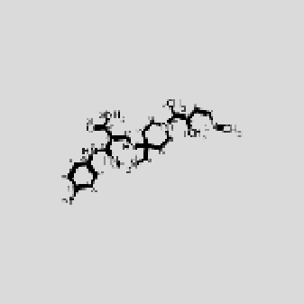 C=N/C=C\C(C)=C(/C)N1CCC(CN)(N/C=C(\C(=N)Nc2ccc(F)cc2)C(N)=O)CC1